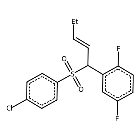 CCC=CC(c1cc(F)ccc1F)S(=O)(=O)c1ccc(Cl)cc1